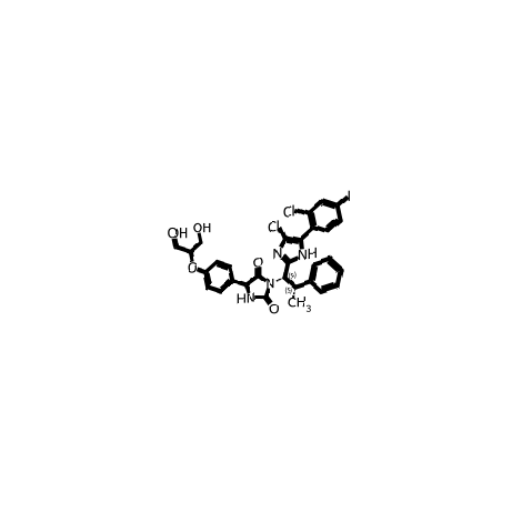 C[C@@H](c1ccccc1)[C@@H](c1nc(Cl)c(-c2ccc(I)cc2Cl)[nH]1)N1C(=O)NC(c2ccc(OC(CO)CO)cc2)C1=O